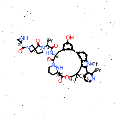 CCn1c(-c2cccnc2C(C)C)c2c3cc(ccc31)-c1cc(O)cc(c1)C[C@H](NC(=O)[C@H](C(C)C)N1CCC3(CN(C(=O)[C@@H]4CN4)C3)C1=O)C(=O)N1CCC[C@H](N1)C(=O)OCC(C)(C)C2